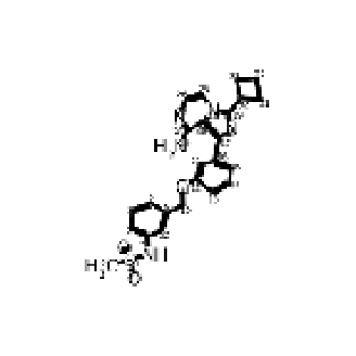 CS(=O)(=O)Nc1cccc(COc2cccc(-c3nc(C4CCC4)n4ccnc(N)c34)c2)c1